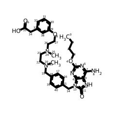 CCCCOc1nc(N)c2[nH]c(=O)n(Cc3ccc(CN(C)CCN(C)CCOc4cccc(CC(=O)O)c4)cc3)c2n1